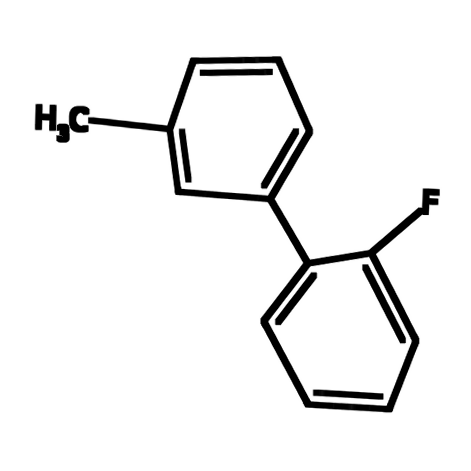 Cc1cccc(-c2ccccc2F)c1